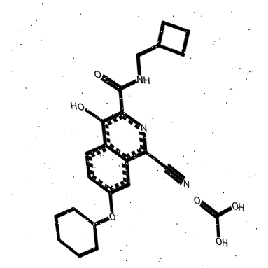 N#Cc1nc(C(=O)NCC2CCC2)c(O)c2ccc(OC3CCCCC3)cc12.O=C(O)O